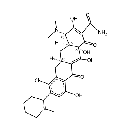 CN1CCCCC1c1cc(O)c2c(c1Cl)C[C@H]1C[C@H]3[C@H](N(C)C)C(O)=C(C(N)=O)C(=O)[C@@]3(O)C(O)=C1C2=O